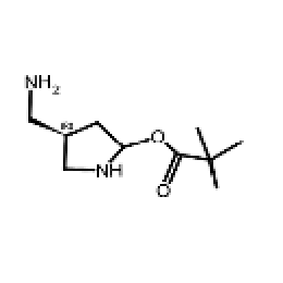 CC(C)(C)C(=O)OC1C[C@H](CN)CN1